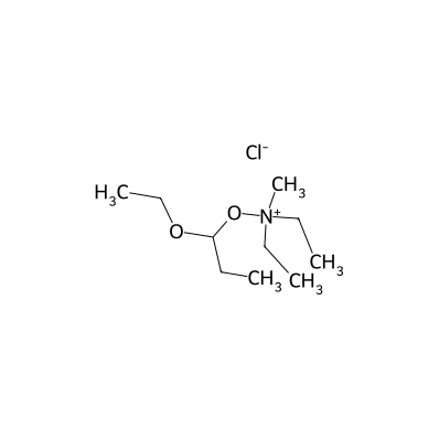 CCOC(CC)O[N+](C)(CC)CC.[Cl-]